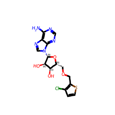 Nc1ncnc2c1ncn2[C@@H]1O[C@H](COCc2sccc2Cl)[C@@H](O)[C@H]1O